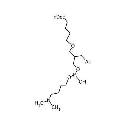 CCCCCCCCCCCCCCOCC(COP(O)OCCCCN(C)C)CC(C)=O